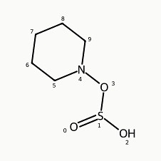 O=S(O)ON1CCCCC1